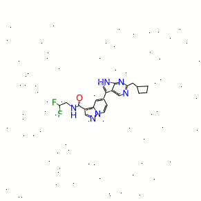 O=C(NCC(F)F)c1cnn2ccc(-c3c[nH]c4nc(CC5CCC5)ncc34)cc12